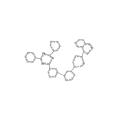 c1ccc(-c2nc(-c3ccccc3)nc(-c3cccc(-c4cccc(-c5ccc(-c6cccc7ccccc67)cc5)c4)c3)n2)cc1